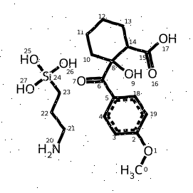 COc1ccc(C(=O)C2(O)CCCCC2C(=O)O)cc1.NCCC[Si](O)(O)O